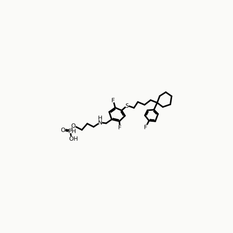 O=[PH](O)OCCCNCc1cc(F)c(SCCCCC2(c3ccc(F)cc3)CCCCC2)cc1F